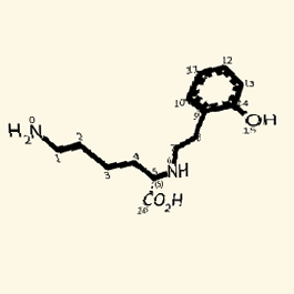 NCCCC[C@H](NCCc1ccccc1O)C(=O)O